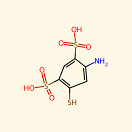 Nc1cc(S)c(S(=O)(=O)O)cc1S(=O)(=O)O